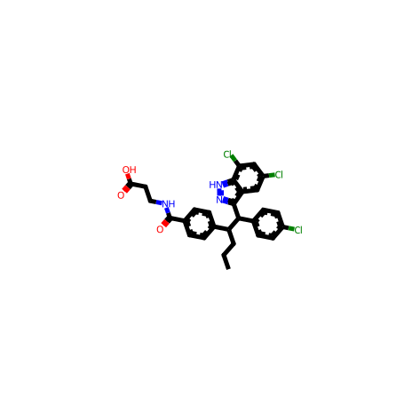 CCCC(c1ccc(C(=O)NCCC(=O)O)cc1)C(c1ccc(Cl)cc1)c1n[nH]c2c(Cl)cc(Cl)cc12